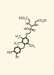 CCOC(=O)CNN(NCC(=O)OCC)P(=O)(O)COc1cc(C)c(Cc2ccc(O)c(C(C)C)c2)c(C)c1C